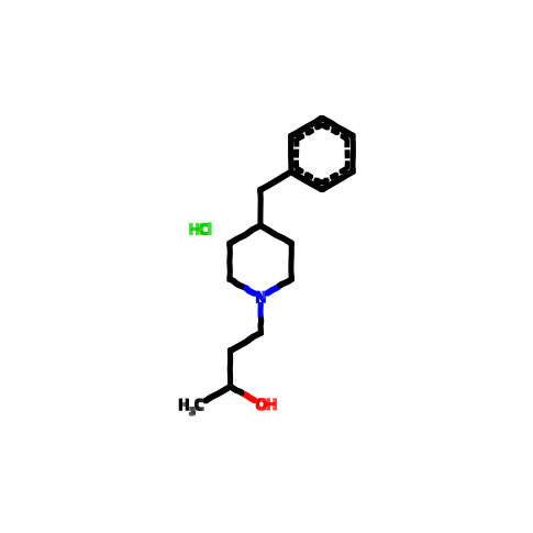 CC(O)CCN1CCC(Cc2ccccc2)CC1.Cl